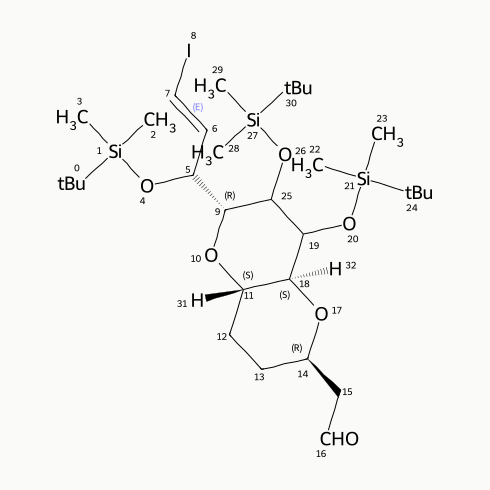 CC(C)(C)[Si](C)(C)OC(/C=C/I)[C@H]1O[C@H]2CC[C@H](CC=O)O[C@@H]2C(O[Si](C)(C)C(C)(C)C)C1O[Si](C)(C)C(C)(C)C